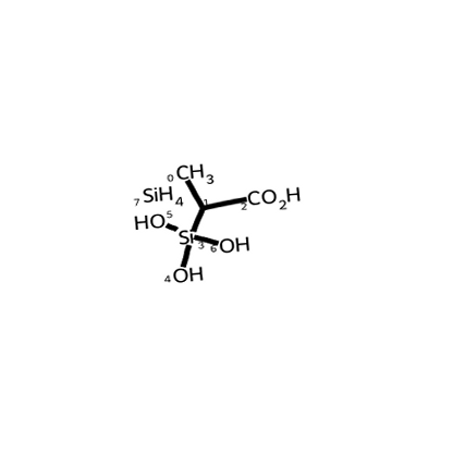 CC(C(=O)O)[Si](O)(O)O.[SiH4]